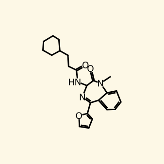 CN1C(=O)C(NC(=O)CCC2CCCCC2)N=C(c2ccco2)c2ccccc21